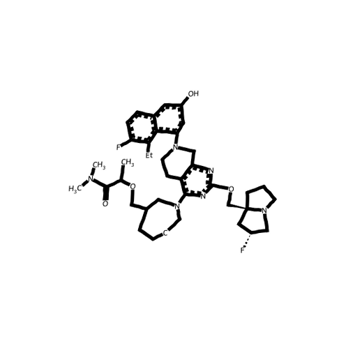 CCc1c(F)ccc2cc(O)cc(N3CCc4c(nc(OC[C@@]56CCCN5C[C@H](F)C6)nc4N4CCCCC(COC(C)C(=O)N(C)C)C4)C3)c12